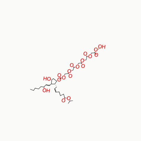 CCCCC[C@H](O)/C=C/[C@@H]1[C@@H](C/C=C\CCCC(=O)OC(C)C)[C@@H](OC(=O)OCC(=O)OCC(=O)OCC(=O)OCC(=O)OCC(=O)OCO)C[C@H]1O